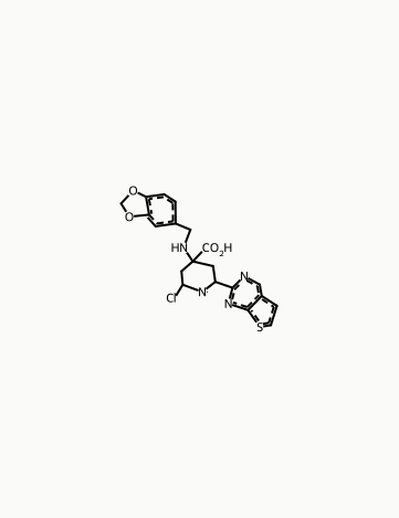 O=C(O)C1(NCc2ccc3c(c2)OCO3)CC(Cl)[N]C(c2ncc3ccsc3n2)C1